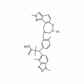 CC[C@@H]1CN(Cc2cc(C(c3ccc4c(nnn4C)c3C)C(C)(C)C(=O)OC)ccc2C)Cc2c(ccc3cn(C)nc23)O1